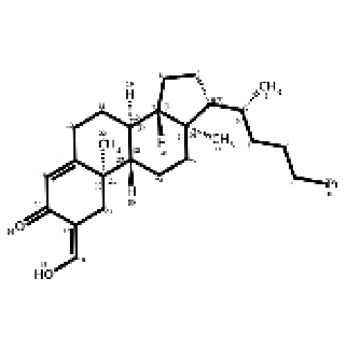 CC(C)CCC[C@@H](C)[C@H]1CC[C@H]2[C@@H]3CCC4=CC(=O)C(=CO)C[C@]4(C)[C@H]3CC[C@]12C